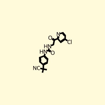 CC(C)(C#N)c1ccc(NC(=O)NCC(=O)c2cc(Cl)ccn2)cc1